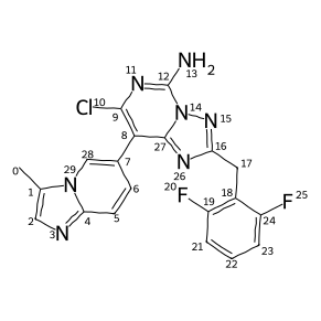 Cc1cnc2ccc(-c3c(Cl)nc(N)n4nc(Cc5c(F)cccc5F)nc34)cn12